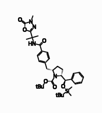 Cn1nc(C(C)(C)NC(=O)c2ccc(C[C@@H]3CC[C@H]([C@H](O[Si](C)(C)C(C)(C)C)c4ccccc4)N3C(=O)OC(C)(C)C)cc2)oc1=O